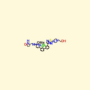 COc1nc(-c2cccc(-c3cccc(-c4cnc5sc(N6CCN(CCO)CC6)nn45)c3Cl)c2Cl)ccc1CNC[C@H]1CCC(=O)N1